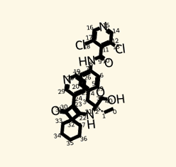 CC[C@@](Cc1ccc(NC(=O)c2c(Cl)cncc2Cl)cc1)(NC1=C(c2cccnc2)C(=O)C12CCCCC2)C(=O)O